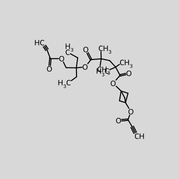 C#CC(=O)OCC(CC)(CC)OC(=O)C(C)(C)CC(C)(C)C(=O)OC12CC(OC(=O)C#C)(C1)C2